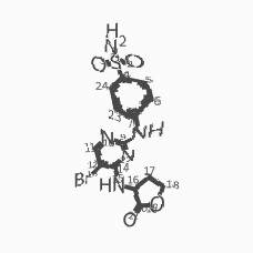 NS(=O)(=O)c1ccc(Nc2ncc(Br)c(NC3CCOC3=O)n2)cc1